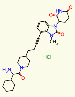 Cl.Cn1c(=O)n(C2CCC(=O)NC2=O)c2cccc(C#CCCC3CCN(C(=O)C(N)C4CCCCC4)CC3)c21